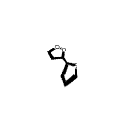 c1csc(C2CCOO2)c1